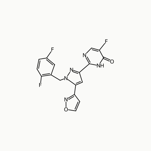 O=c1[nH]c(-c2cc(-c3ccon3)n(Cc3cc(F)ccc3F)n2)ncc1F